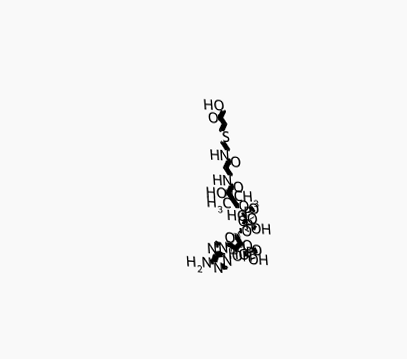 CC(C)(COP(=O)(O)OP(=O)(O)OC[C@H]1O[C@@H](n2cnc3c(N)ncnc32)[C@H](O)[C@@H]1OP(=O)(O)O)[C@@H](O)C(=O)NCCC(=O)NCCSCCC(=O)CO